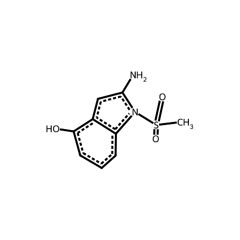 CS(=O)(=O)n1c(N)cc2c(O)cccc21